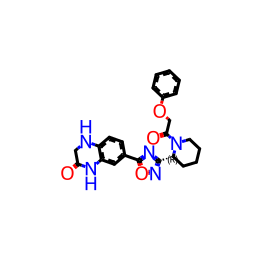 O=C1CNc2ccc(-c3nc([C@H]4CCCCN4C(=O)COc4ccccc4)no3)cc2N1